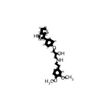 COc1ccc(CCNCC(O)COc2ccc(-c3n[nH]c4ccsc34)cc2)cc1OC